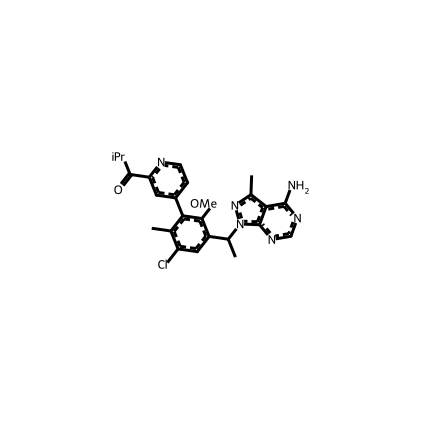 COc1c(C(C)n2nc(C)c3c(N)ncnc32)cc(Cl)c(C)c1-c1ccnc(C(=O)C(C)C)c1